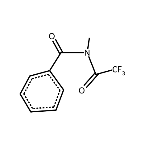 CN(C(=O)c1ccccc1)C(=O)C(F)(F)F